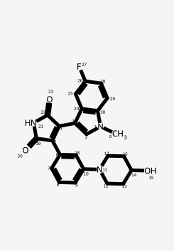 Cn1cc(C2=C(c3cccc(N4CCC(O)CC4)c3)C(=O)NC2=O)c2cc(F)ccc21